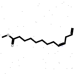 C=CC/C=C\CCCCCCCC(=O)OC